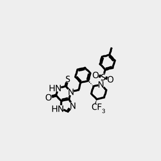 Cc1ccc(S(=O)(=O)N2CC[C@H](C(F)(F)F)C[C@@H]2c2ccccc2Cn2c(=S)[nH]c(=O)c3[nH]cnc32)cc1